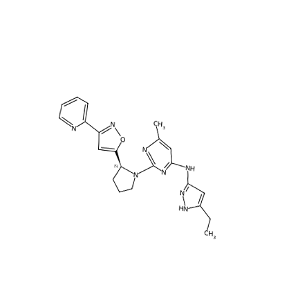 CCc1cc(Nc2cc(C)nc(N3CCC[C@H]3c3cc(-c4ccccn4)no3)n2)n[nH]1